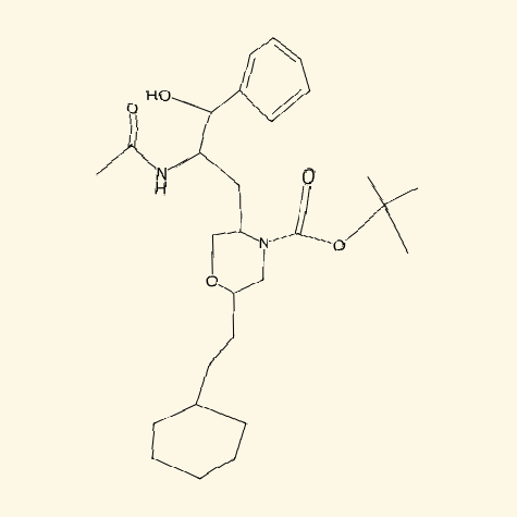 CC(=O)NC(CC1COC(CCC2CCCCC2)CN1C(=O)OC(C)(C)C)C(O)c1ccccc1